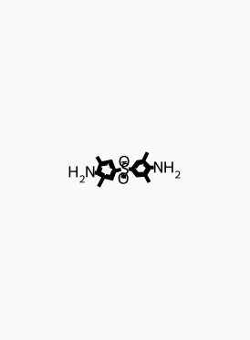 Cc1cc(S(=O)(=O)c2cc(C)c(N)c(C)c2)cc(C)c1N